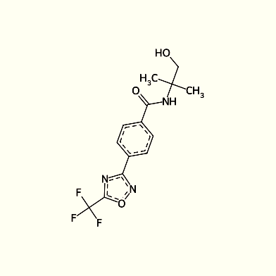 CC(C)(CO)NC(=O)c1ccc(-c2noc(C(F)(F)F)n2)cc1